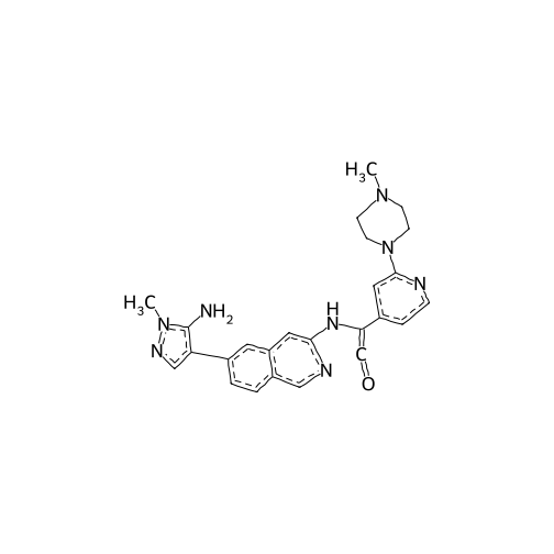 CN1CCN(c2cc(C(=C=O)Nc3cc4cc(-c5cnn(C)c5N)ccc4cn3)ccn2)CC1